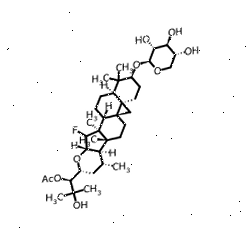 CC(=O)O[C@@H]([C@H]1C[C@@H](C)[C@H]2[C@H](O1)C(F)[C@@]1(C)[C@@H]3CC[C@H]4C(C)(C)[C@@H](O[C@@H]5OC[C@@H](O)[C@H](O)[C@H]5O)CC[C@@]45C[C@@]35CC[C@]21C)C(C)(C)O